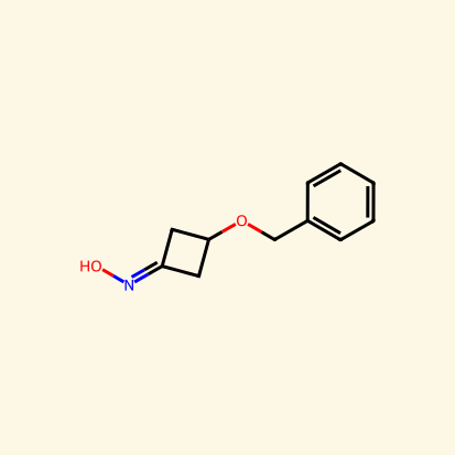 ON=C1CC(OCc2ccccc2)C1